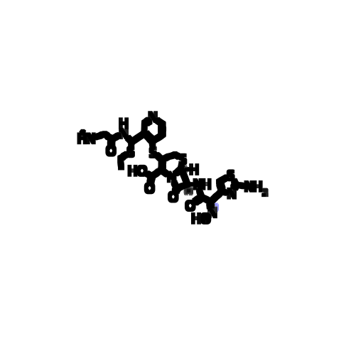 CCSC(NC(=O)CNC)c1cnccc1SC1=C(C(=O)O)N2C(=O)[C@@H](NC(=O)/C(=N\O)c3csc(N)n3)[C@@H]2SC1